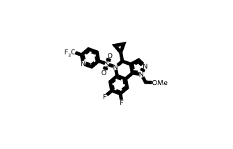 COCn1ncc2c1-c1cc(F)c(F)cc1N(S(=O)(=O)c1ccc(C(F)(F)F)nc1)C2C1CC1